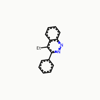 CCc1c(-c2ccccc2)nnc2ccccc12